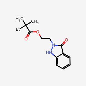 CCC(C)(C)C(=O)OCCn1[nH]c2ccccc2c1=O